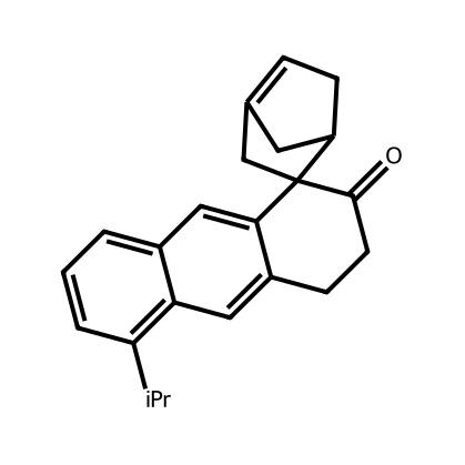 CC(C)c1cccc2cc3c(cc12)CCC(=O)C31CC2=CCC1C2